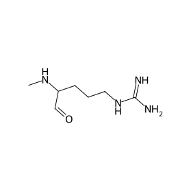 CNC(C=O)CCCNC(=N)N